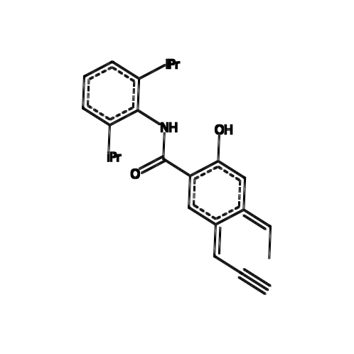 C#C/C=c1/cc(C(=O)Nc2c(C(C)C)cccc2C(C)C)c(O)c/c1=C/C